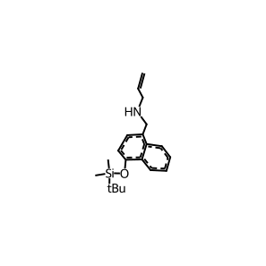 C=CCNCc1ccc(O[Si](C)(C)C(C)(C)C)c2ccccc12